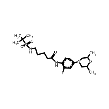 CC1CN(c2ccc(NC(=O)CCCCNS(=O)(=O)C(C)(C)C)c(F)c2)CC(C)O1